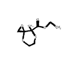 CCOC(=O)C1(C)SCCSC12CO2